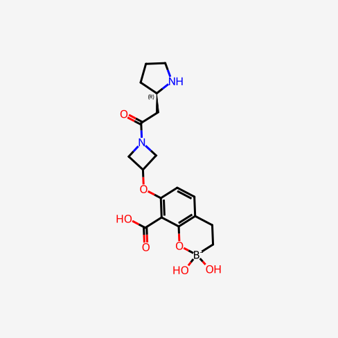 O=C(O)c1c(OC2CN(C(=O)C[C@H]3CCCN3)C2)ccc2c1O[B-](O)(O)CC2